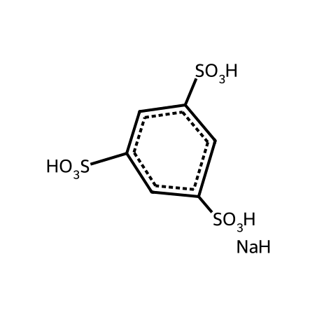 O=S(=O)(O)c1cc(S(=O)(=O)O)cc(S(=O)(=O)O)c1.[NaH]